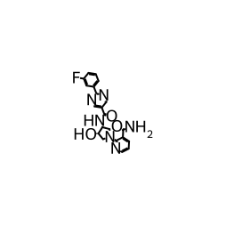 NC(=O)c1cccnc1N1C[C@H](O)[C@H](NC(=O)c2cnc(-c3cccc(F)c3)nc2)C1